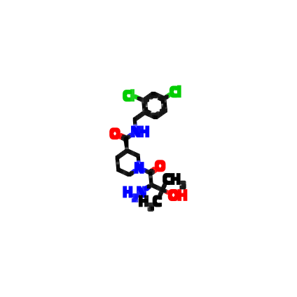 CC(C)(O)[C@@H](N)C(=O)N1CCC[C@@H](C(=O)NCc2ccc(Cl)cc2Cl)C1